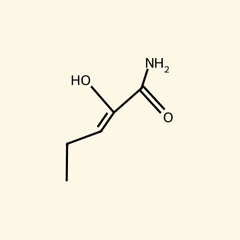 CCC=C(O)C(N)=O